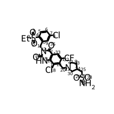 CCS(=O)(=O)c1ccc(Cl)cc1Cn1c(=O)[nH]c2c(Cl)c(CN3CCC(CS(N)(=O)=O)C3)c(C(F)(F)F)cc2c1=O